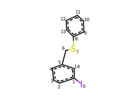 Ic1cccc(CSc2ccccc2)c1